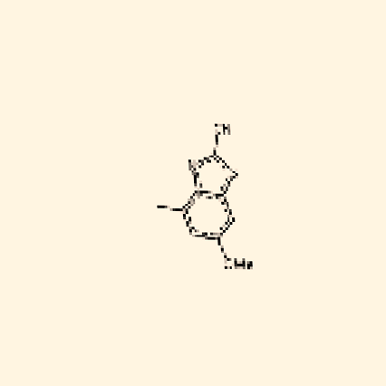 COc1cc(C)c2nc(C#N)sc2c1